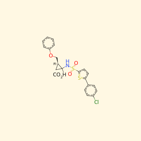 O=C(O)C1(NS(=O)(=O)c2ccc(-c3ccc(Cl)cc3)s2)C[C@H]1COc1ccccc1